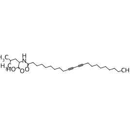 CCCCCCCCCC#CC#CCCCCCCCCC(=O)NC(CC(C)C)C(=O)O